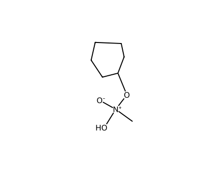 C[N+]([O-])(O)OC1CCCCC1